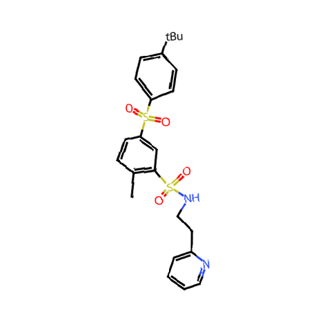 Cc1ccc(S(=O)(=O)c2ccc(C(C)(C)C)cc2)cc1S(=O)(=O)NCCc1ccccn1